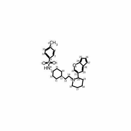 Cc1ccc(S(=O)(=O)N[C@H]2CC[C@H](CCN3CCCCC3c3coc4cccc-4c3)CC2)cc1